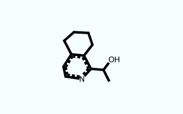 CC(O)c1nccc2c1CCCC2